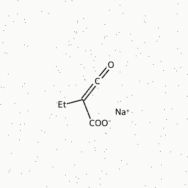 CCC(=C=O)C(=O)[O-].[Na+]